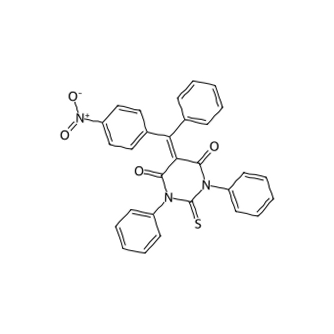 O=C1C(=C(c2ccccc2)c2ccc([N+](=O)[O-])cc2)C(=O)N(c2ccccc2)C(=S)N1c1ccccc1